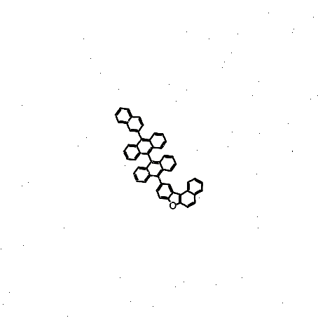 c1ccc2cc(-c3c4ccccc4c(-c4c5ccccc5c(-c5ccc6oc7ccc8ccccc8c7c6c5)c5ccccc45)c4ccccc34)ccc2c1